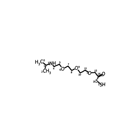 CC(C)NCCOCCOCCOCC(=O)SS